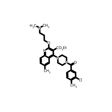 CCOC(=O)c1c(OCCCN(C)C)nc2ccc(C)cc2c1N1CCN(C(=O)c2ccc(C)c(Cl)c2)CC1